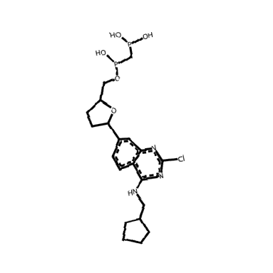 OP(O)CP(O)OCC1CCC(c2ccc3c(NCC4CCCC4)nc(Cl)nc3c2)O1